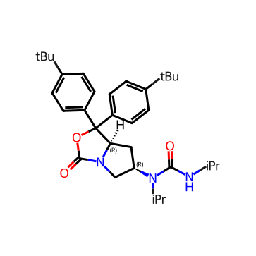 CC(C)NC(=O)N(C(C)C)[C@@H]1C[C@H]2N(C1)C(=O)OC2(c1ccc(C(C)(C)C)cc1)c1ccc(C(C)(C)C)cc1